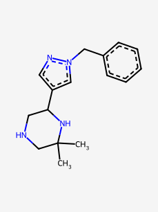 CC1(C)CNCC(c2cnn(Cc3ccccc3)c2)N1